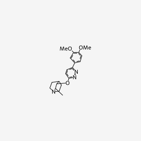 COc1ccc(-c2ccc(OC3C4CCN(CC4)C3C)nn2)cc1OC